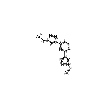 CC(=O)Cn1cc(-c2cccc(-c3cn(CC(C)=O)nn3)n2)nn1